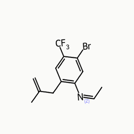 C=C(C)Cc1cc(C(F)(F)F)c(Br)cc1/N=C\C